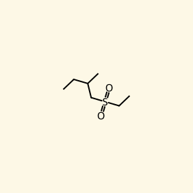 CCC(C)CS(=O)(=O)CC